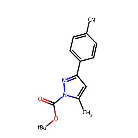 Cc1cc(-c2ccc(C#N)cc2)nn1C(=O)OC(C)(C)C